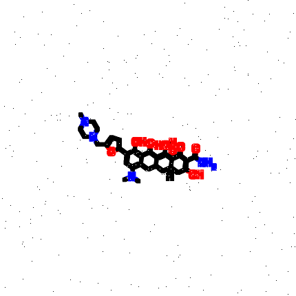 CN1CCN(Cc2ccc(-c3cc(N(C)C)c4c(c3O)C(=O)C3=C(O)[C@]5(O)C(=O)C(C(N)=O)=C(O)C[C@@H]5CC3C4)o2)CC1